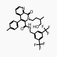 Cc1ccc(-c2c(C(=O)NCc3cc(C(F)(F)F)cc(C(F)(F)F)c3)n(CCC(C)CO)c(=O)c3ncccc23)cc1